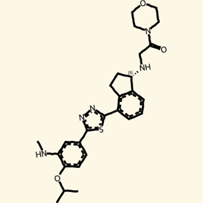 CNc1cc(-c2nnc(-c3cccc4c3CC[C@@H]4NCC(=O)N3CCOCC3)s2)ccc1OC(C)C